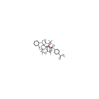 COC(=O)c1ccc(CNC(=O)C2C[Si](C)(C)C[N@@+]2(C(=O)[C@@H](NC(=O)[C@H](C)N(C)C(=O)OC(C)(C)C)C(C)(C)C)[C@H](C)c2ccccc2F)cc1